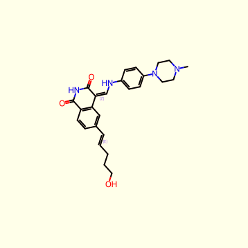 CN1CCN(c2ccc(N/C=C3\C(=O)NC(=O)c4ccc(/C=C/CCCO)cc43)cc2)CC1